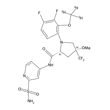 [2H]C([2H])([2H])Oc1c(N2C[C@@](OC)(C(F)(F)F)C[C@@H]2C(=O)Nc2ccnc(S(N)(=O)=O)c2)ccc(F)c1F